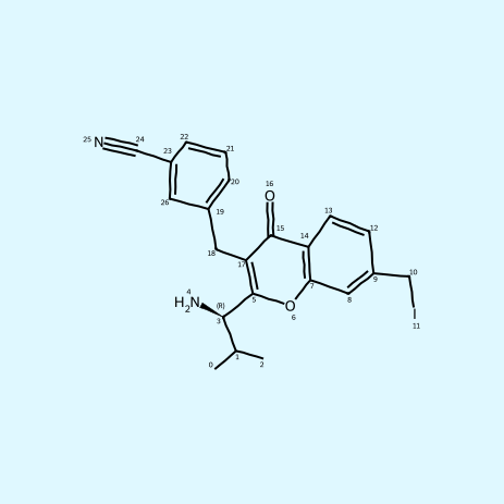 CC(C)[C@@H](N)c1oc2cc(CI)ccc2c(=O)c1Cc1cccc(C#N)c1